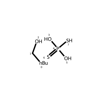 CCCCCO.OP(O)(=S)S